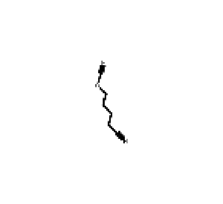 N#CCCCCOC#N